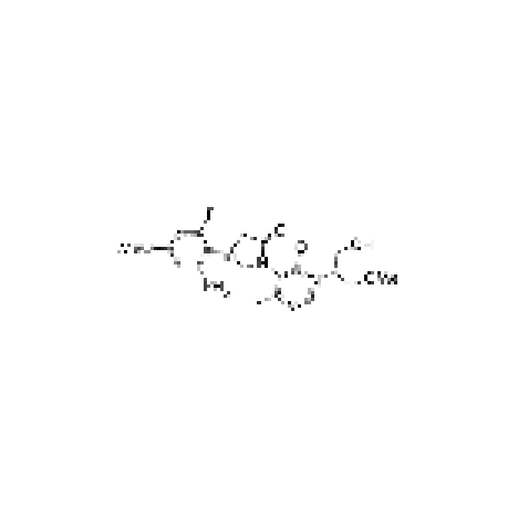 COCC(CO)n1ccc(C)c(N2C[C@@H](c3c(F)cc(OC)cc3P)CC2=O)c1=O